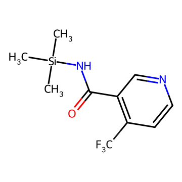 C[Si](C)(C)NC(=O)c1cnccc1C(F)(F)F